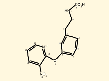 O=C(O)NCCc1cccc(Oc2ncccc2[N+](=O)[O-])c1